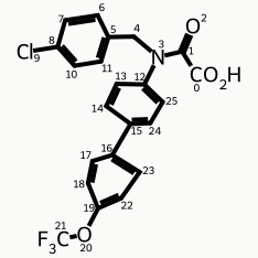 O=C(O)C(=O)N(Cc1ccc(Cl)cc1)c1ccc(-c2ccc(OC(F)(F)F)cc2)cc1